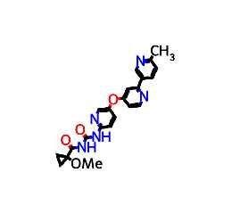 COC1(C(=O)NC(=O)Nc2ccc(Oc3ccnc(-c4ccc(C)nc4)c3)cn2)CC1